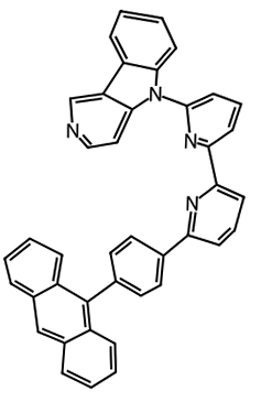 c1cc(-c2ccc(-c3c4ccccc4cc4ccccc34)cc2)nc(-c2cccc(-n3c4ccccc4c4cnccc43)n2)c1